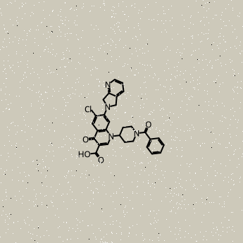 O=C(O)c1cn(C2CCN(C(=O)c3ccccc3)CC2)c2cc(N3Cc4cccnc4C3)c(Cl)cc2c1=O